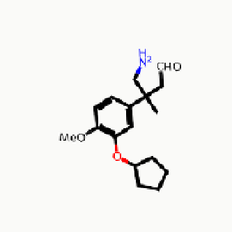 COc1ccc(C(C)(CN)CC=O)cc1OC1CCCC1